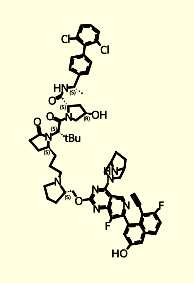 C#Cc1c(F)ccc2cc(O)cc(-c3ncc4c(N5CC6CCC(C5)N6)nc(OC[C@@H]5CCCN5CCC[C@H]5CCC(=O)N5[C@H](C(=O)N5C[C@H](O)C[C@H]5C(=O)N[C@@H](C)c5ccc(-c6c(Cl)cccc6Cl)cc5)C(C)(C)C)nc4c3F)c12